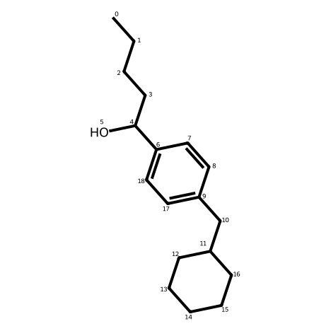 CCCCC(O)c1ccc(CC2CCCCC2)cc1